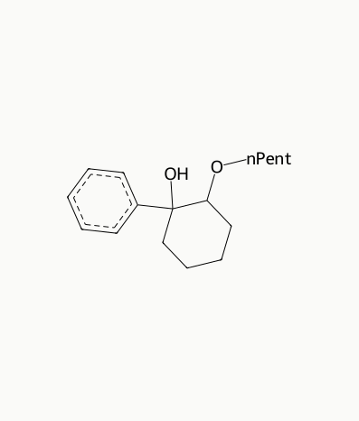 CCCCCOC1CCCCC1(O)c1ccccc1